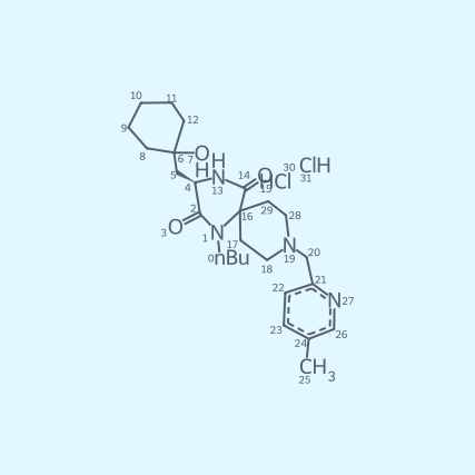 CCCCN1C(=O)[C@@H](CC2(O)CCCCC2)NC(=O)C12CCN(Cc1ccc(C)cn1)CC2.Cl.Cl